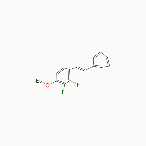 CCOc1ccc(C=Cc2ccccc2)c(F)c1F